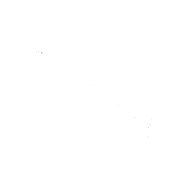 COCCOCOCCOCCOCCOS(C)(=O)=O